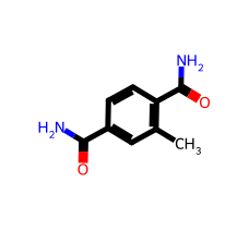 Cc1cc(C(N)=O)ccc1C(N)=O